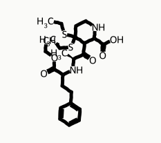 CCOC(=O)C(CCc1ccccc1)N[C@@H](C)C(=O)C1C(C(=O)O)NCCC1(SCC)SCC